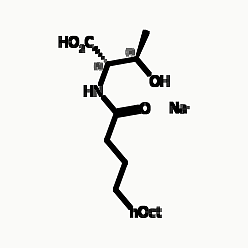 CCCCCCCCCCCC(=O)N[C@H](C(=O)O)[C@@H](C)O.[Na]